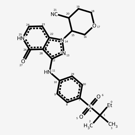 CCC(C)(C)S(=O)(=O)c1ccc(Nc2nn(C3COCCC3C#N)c3cc[nH]c(=O)c23)cc1